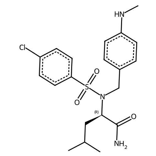 CNc1ccc(CN([C@H](CC(C)C)C(N)=O)S(=O)(=O)c2ccc(Cl)cc2)cc1